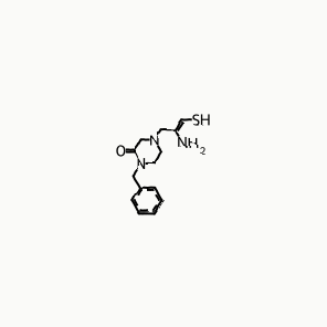 N/C(=C\S)CN1CCN(Cc2ccccc2)C(=O)C1